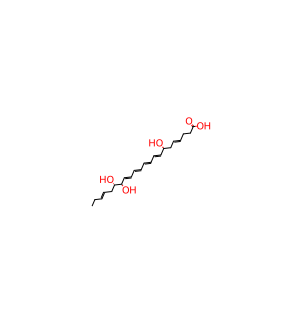 CCC=CC[C@H](O)C(O)C=CC=CC=CC=C[C@@H](O)CC=CCCC(=O)O